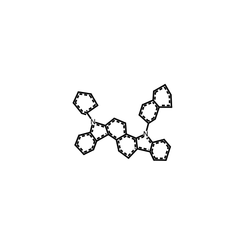 c1ccc(-n2c3ccccc3c3c4ccc5c6ccccc6n(-c6ccc7ccccc7c6)c5c4ccc32)cc1